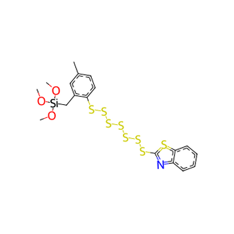 CO[Si](Cc1cc(C)ccc1SSSSSSSc1nc2ccccc2s1)(OC)OC